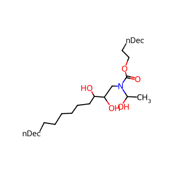 CCCCCCCCCCCCCCCCC(O)C(O)CN(C(=O)OCCCCCCCCCCCC)C(C)O